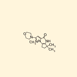 C[C@@H]1COCCN1c1cc2c(=O)[nH]c3c(n2n1)CCC3(C)C